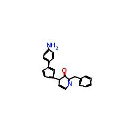 Nc1ccc(-c2cccc(C3C=CN=C(Cc4ccccc4)C3=O)c2)cc1